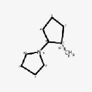 C[C@H]1CCCC1N1CCCC1